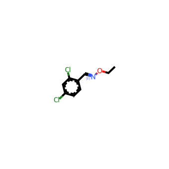 CCO/N=C/c1c[c]c(Cl)cc1Cl